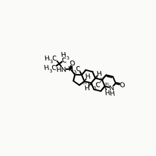 CC(C)(C)NC(=O)C1CC[C@H]2[C@@H]3CC[C@H]4NC(=O)C=C[C@]4(C)[C@H]3CCC12C